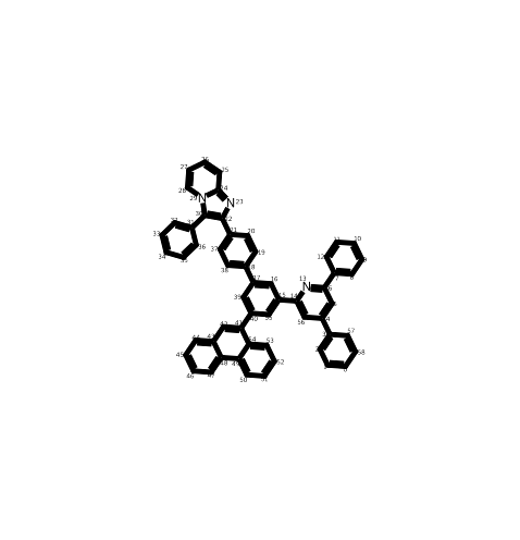 c1ccc(-c2cc(-c3ccccc3)nc(-c3cc(-c4ccc(-c5nc6ccccn6c5-c5ccccc5)cc4)cc(-c4cc5ccccc5c5ccccc45)c3)c2)cc1